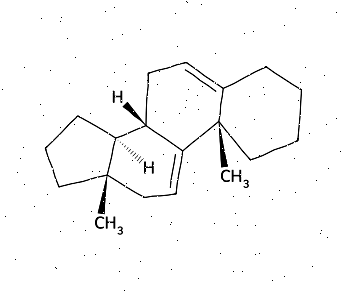 C[C@]12CCCCC1=CC[C@@H]1C2=CC[C@]2(C)CCC[C@@H]12